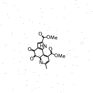 COC(=O)c1cc2c([nH]1)-c1c(C(=O)OC)cc(C)nc1C(=O)C2=O